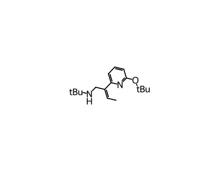 C/C=C(/CNC(C)(C)C)c1cccc(OC(C)(C)C)n1